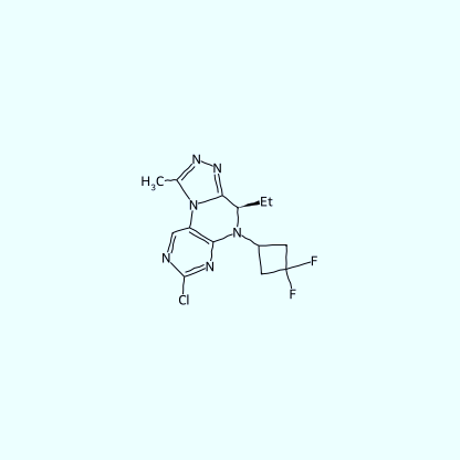 CC[C@@H]1c2nnc(C)n2-c2cnc(Cl)nc2N1C1CC(F)(F)C1